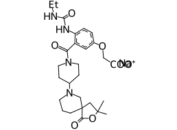 CCNC(=O)Nc1ccc(OCC(=O)[O-])cc1C(=O)N1CCC(N2CCCC3(C2)CC(C)(C)OC3=O)CC1.[Na+]